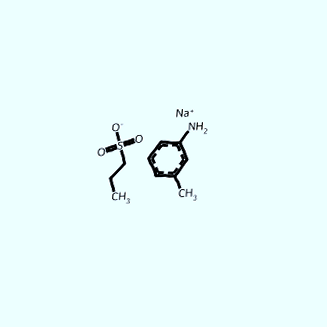 CCCS(=O)(=O)[O-].Cc1cccc(N)c1.[Na+]